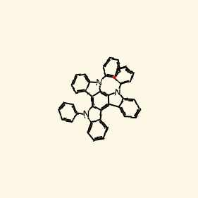 c1ccc(-n2c3ccccc3c3c4c5ccccc5n(-c5ccccc5)c4c4c(c5ccccc5n4-c4ccccc4)c32)cc1